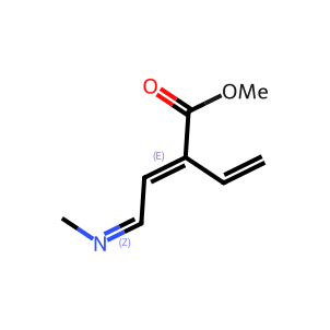 C=C/C(=C\C=N/C)C(=O)OC